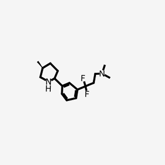 C[C@H]1CCC(c2cccc(C(F)(F)CCN(C)C)c2)NC1